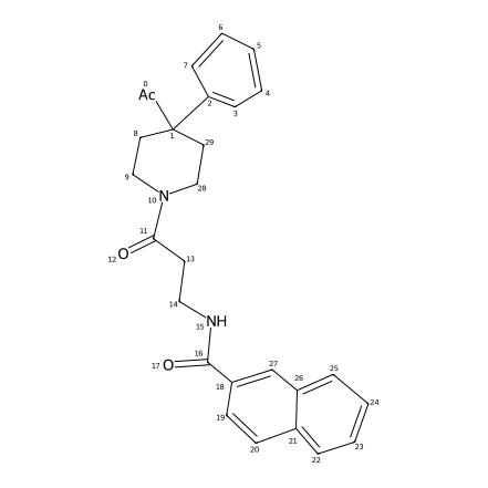 CC(=O)C1(c2ccccc2)CCN(C(=O)CCNC(=O)c2ccc3ccccc3c2)CC1